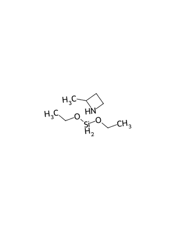 CC1CCN1.CCO[SiH2]OCC